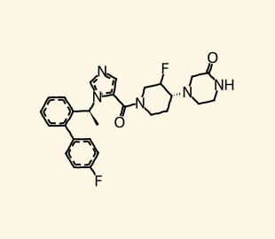 C[C@@H](c1ccccc1-c1ccc(F)cc1)n1cncc1C(=O)N1CC[C@@H](N2CCNC(=O)C2)C(F)C1